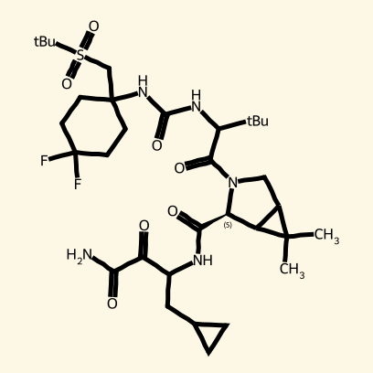 CC(C)(C)C(NC(=O)NC1(CS(=O)(=O)C(C)(C)C)CCC(F)(F)CC1)C(=O)N1CC2C([C@H]1C(=O)NC(CC1CC1)C(=O)C(N)=O)C2(C)C